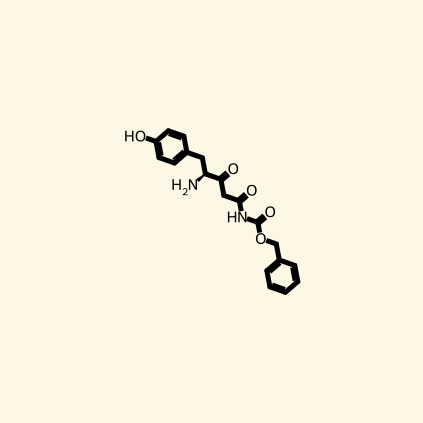 N[C@@H](Cc1ccc(O)cc1)C(=O)CC(=O)NC(=O)OCc1ccccc1